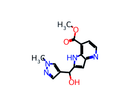 COC(=O)c1ccnc2cc(C(O)c3cnn(C)c3)[nH]c12